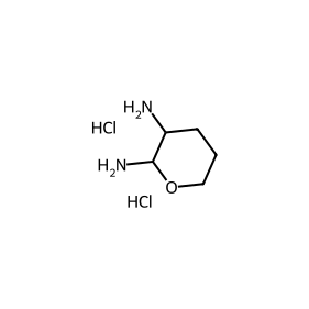 Cl.Cl.NC1CCCOC1N